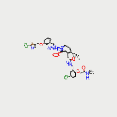 CCNC(=O)COc1ccc(Cl)cc1CNC(=O)Cc1c(C)ccn(NCc2cccc(OCc3cnc(Cl)s3)c2)c1=O